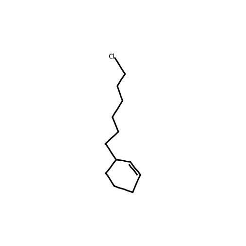 ClCCCCCCC1C=CCCC1